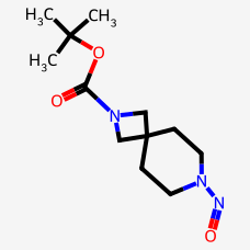 CC(C)(C)OC(=O)N1CC2(CCN(N=O)CC2)C1